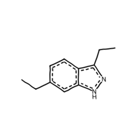 CCc1ccc2c(CC)n[nH]c2c1